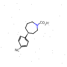 N#Cc1ccc([C@H]2CCCN(C(=O)O)CC2)cc1